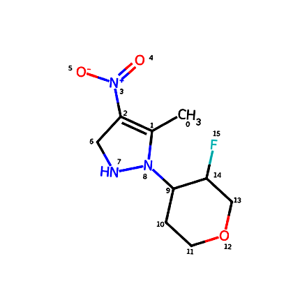 CC1=C([N+](=O)[O-])CNN1C1CCOCC1F